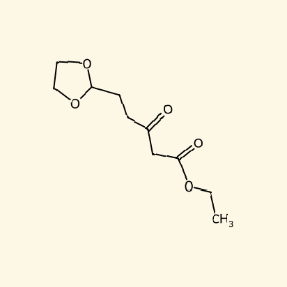 CCOC(=O)CC(=O)CCC1OCCO1